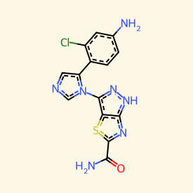 NC(=O)c1nc2[nH]nc(-n3cncc3-c3ccc(N)cc3Cl)c2s1